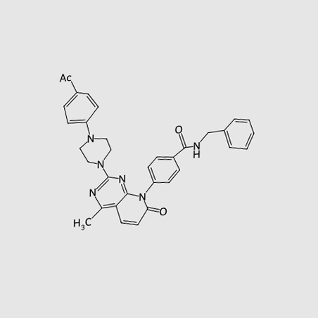 CC(=O)c1ccc(N2CCN(c3nc(C)c4ccc(=O)n(-c5ccc(C(=O)NCc6ccccc6)cc5)c4n3)CC2)cc1